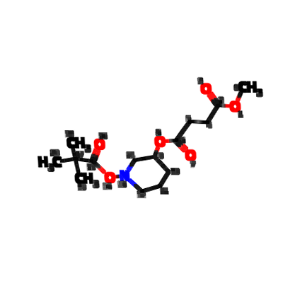 COC(=O)CCC(=O)OC1CCCN(OC(=O)C(C)(C)C)C1